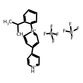 CC(C)c1ccccc1-[n+]1ccc(-c2cc[nH+]cc2)cc1.F[B-](F)(F)F.F[B-](F)(F)F